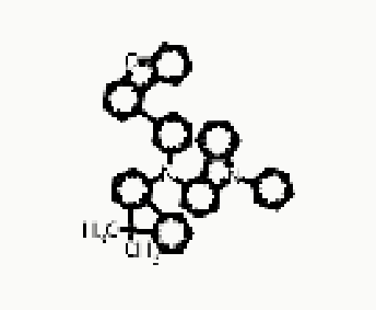 CC1(C)c2ccccc2-c2c(N(c3cccc(-c4cccc5oc6ccccc6c45)c3)c3cccc4c3c3ccccc3n4-c3ccccc3)cccc21